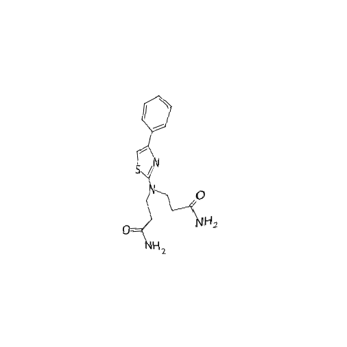 NC(=O)CCN(CCC(N)=O)c1nc(-c2ccccc2)cs1